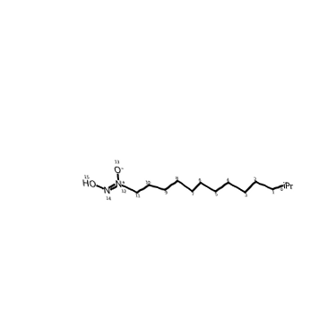 CC(C)CCCCCCCCCCC/[N+]([O-])=N/O